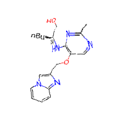 CCCC[C@@H](CO)Nc1nc(C)ncc1OCc1cn2ccccc2n1